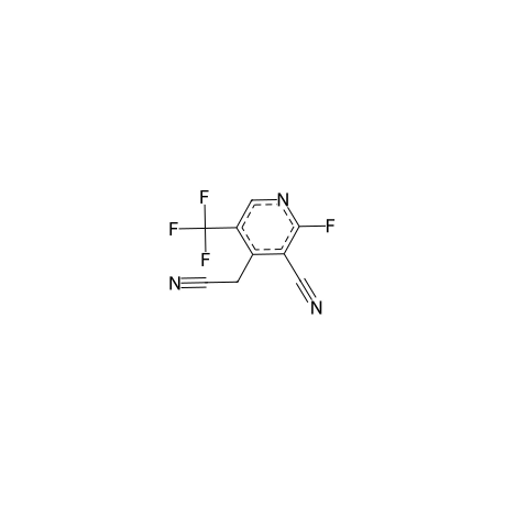 N#CCc1c(C(F)(F)F)cnc(F)c1C#N